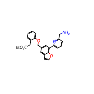 CCOC(=O)Cc1ccccc1OCc1cc(-c2cccc(CN)n2)c2occc2c1